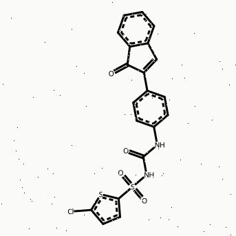 O=C(Nc1ccc(C2=Cc3ccccc3C2=O)cc1)NS(=O)(=O)c1ccc(Cl)s1